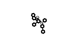 c1ccc(-c2ccc(N(c3ccccc3)c3cc(-c4ccccc4)c4c(c3)oc3c5ccccc5ccc34)cc2)cc1